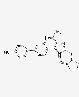 N#Cc1ccc(-c2ccc3c(c2)nc(N)c2nc(CN4CCCC4=O)[nH]c23)cn1